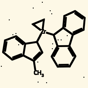 CC1=C[CH]([Zr]2([CH]3c4ccccc4-c4ccccc43)[CH2][CH2]2)c2ccccc21